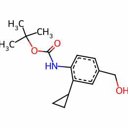 CC(C)(C)OC(=O)Nc1ccc(CO)cc1C1CC1